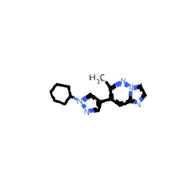 Cc1nn2ccnc2cc1-c1cnn(C2CCCCC2)c1